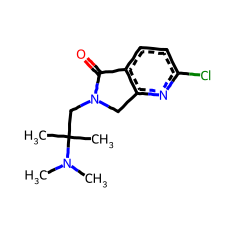 CN(C)C(C)(C)CN1Cc2nc(Cl)ccc2C1=O